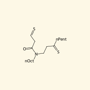 CCCCCCCCN(CCC(=S)CCCCC)C(=O)CC=S